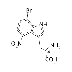 N[C@@H](Cc1c[nH]c2c(Br)ccc([N+](=O)[O-])c12)C(=O)O